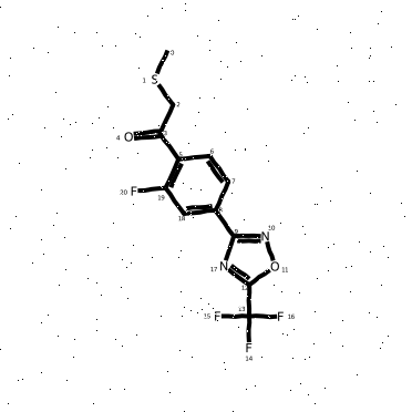 CSCC(=O)c1ccc(-c2noc(C(F)(F)F)n2)cc1F